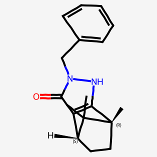 CC1(C)[C@@H]2CC[C@@]1(C)c1[nH]n(Cc3ccccc3)c(=O)c12